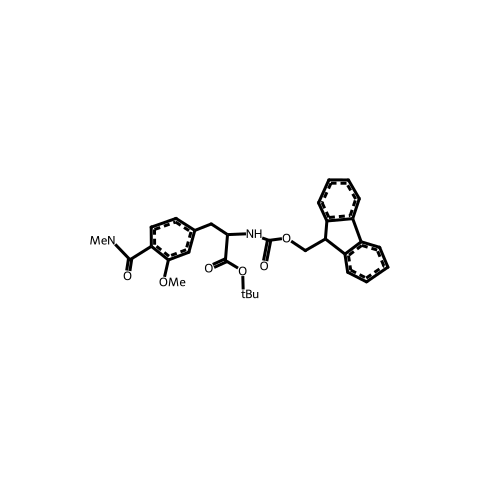 CNC(=O)c1ccc(CC(NC(=O)OCC2c3ccccc3-c3ccccc32)C(=O)OC(C)(C)C)cc1OC